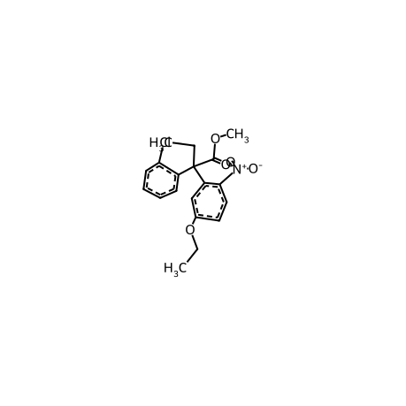 CCOc1ccc([N+](=O)[O-])c(C(CC)(C(=O)OC)c2ccccc2Cl)c1